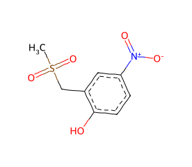 CS(=O)(=O)Cc1cc([N+](=O)[O-])ccc1O